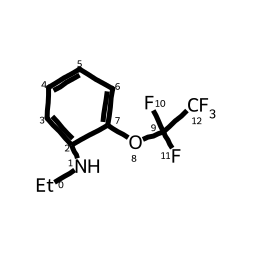 CCNc1ccccc1OC(F)(F)C(F)(F)F